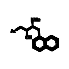 CN[C@@H](Cc1cccc2ccccc12)[C@@H](O)CC(C)=O